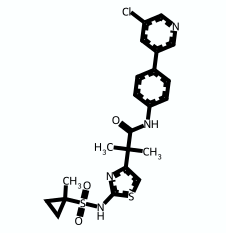 CC(C)(C(=O)Nc1ccc(-c2cncc(Cl)c2)cc1)c1csc(NS(=O)(=O)C2(C)CC2)n1